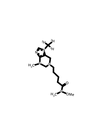 [2H]C([2H])([2H])n1cnc2c1CN(CCCCC(=O)N(C)OC)CN2C